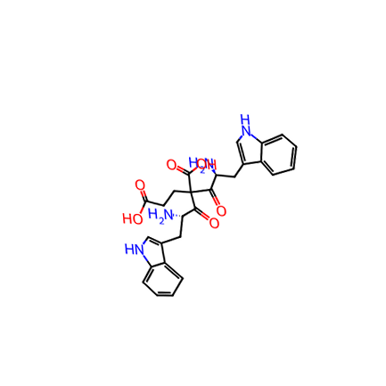 N[C@@H](Cc1c[nH]c2ccccc12)C(=O)C(CCC(=O)O)(C(=O)O)C(=O)[C@@H](N)Cc1c[nH]c2ccccc12